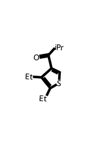 CCc1scc(C(=O)C(C)C)c1CC